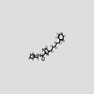 O=C(NCC1CCCC1)C1=NCC(CCCCCC2=CCCC=C2)C1